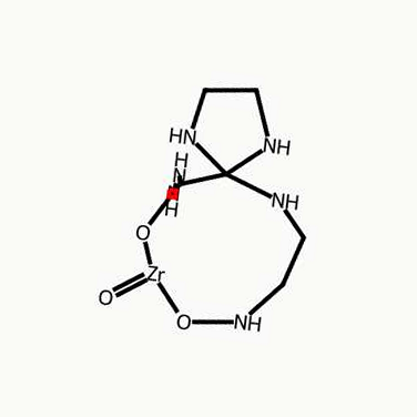 [O]=[Zr]1[O]NCCNC2(NCCN2)C2(NCCN2)[O]1